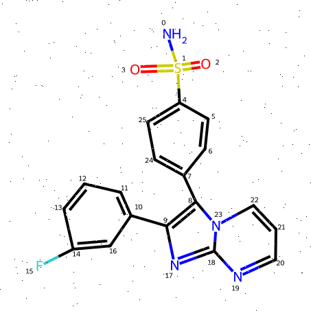 NS(=O)(=O)c1ccc(-c2c(-c3cccc(F)c3)nc3ncccn23)cc1